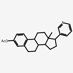 CC(=O)Oc1ccc2c(c1)CCC1C2CCC2(C)C(c3cccnc3)CCC12